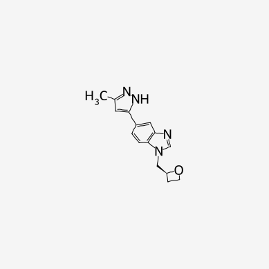 Cc1cc(-c2ccc3c(c2)ncn3C[C@@H]2CCO2)[nH]n1